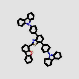 c1ccc2c(c1)oc1c(-c3nc4c(-c5ccc(-n6c7ccccc7c7ccccc76)cc5)ccc(-c5ccc(-n6c7ccccc7c7ccccc76)cc5)c4s3)cccc12